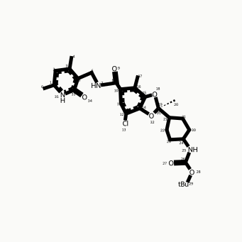 Cc1cc(C)c(CNC(=O)c2cc(Cl)c3c(c2C)O[C@@](C)(C2CCC(NC(=O)OC(C)(C)C)CC2)O3)c(=O)[nH]1